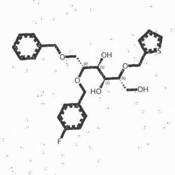 OC[C@@H](OCc1cccs1)[C@@H](O)[C@H](O)[C@@H](COCc1ccccc1)OCc1ccc(F)cc1